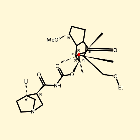 CCOC[C@]1(C)C[C@@H](OC(=O)NC(=O)[C@H]2CN3CC[C@@H]2C3)[C@@]2(C)C3[C@H](OC)CCC3(CC[C@H]2C)[C@@H](C)C1=O